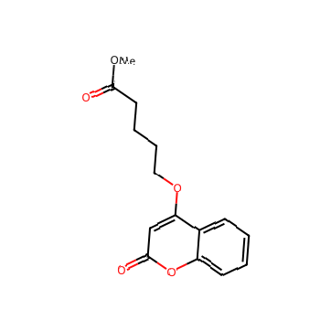 COC(=O)CCCCOc1cc(=O)oc2ccccc12